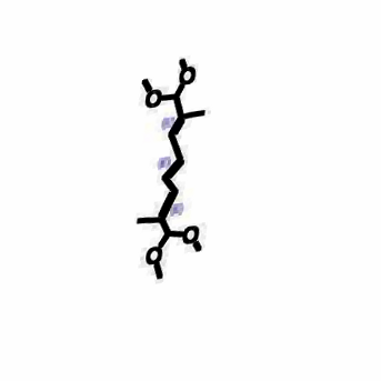 COC(OC)/C(C)=C/C=C/C=C(\C)C(OC)OC